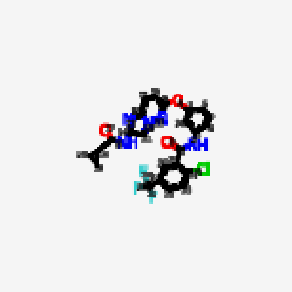 O=C(Nc1cccc(Oc2ccc3nc(NC(=O)C4CC4)cn3n2)c1)c1cc(C(F)(F)F)ccc1Cl